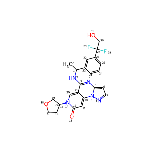 CC(Nc1nc2ccnn2c2cc(=O)n([C@H]3CCOC3)cc12)c1cccc(C(F)(F)CO)c1